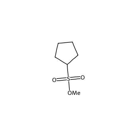 COS(=O)(=O)C1CCCC1